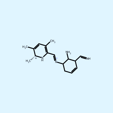 CC1=CC(C)=C(/C=N/C2CC=CC(C=N)C2N)N[C@@H]1C